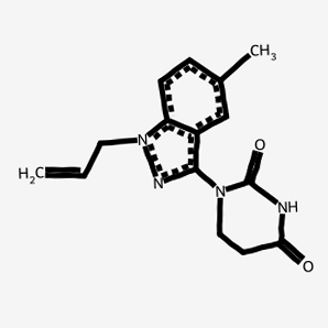 C=CCn1nc(N2CCC(=O)NC2=O)c2cc(C)ccc21